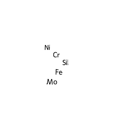 [Cr].[Fe].[Mo].[Ni].[Si]